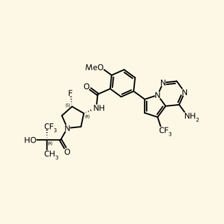 COc1ccc(-c2cc(C(F)(F)F)c3c(N)ncnn23)cc1C(=O)N[C@@H]1CN(C(=O)[C@@](C)(O)C(F)(F)F)C[C@@H]1F